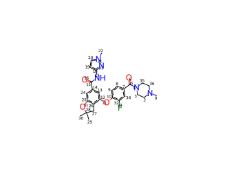 CN1CCN(C(=O)c2ccc(Oc3cc(C(=O)Nc4ccn(C)n4)cc4c3CC(C)(C)O4)c(F)c2)CC1